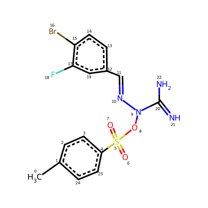 Cc1ccc(S(=O)(=O)ON(N=Cc2ccc(Br)c(F)c2)C(=N)N)cc1